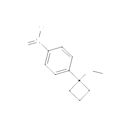 COC1(c2ccc([N+](=O)[O-])cc2)CCC1